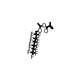 C=C(C)C(=O)OC(C)OCC(F)(F)C(F)(F)C(F)(F)C(F)(F)C(F)(F)C(F)(F)F